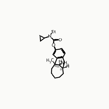 CCN(C(=O)Oc1ccc2c(c1)[C@@]1(C)CCCCC[C@@H](C2)[C@@H]1N)C1CC1